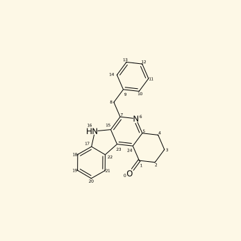 O=C1CCCc2nc(Cc3ccccc3)c3[nH]c4ccccc4c3c21